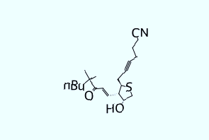 CCCCC(C)(C)C(=O)C=C[C@H]1[C@@H](O)CS[C@@H]1CC#CCCCC#N